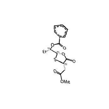 CC[C@H](OC(=O)c1ccccc1)[C@@H]1OC(=O)[C@H](CC(=O)OC)S1